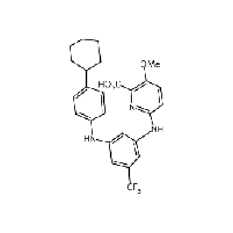 COc1ccc(Nc2cc(Nc3ccc(C4CCCCC4)cc3)cc(C(F)(F)F)c2)nc1C(=O)O